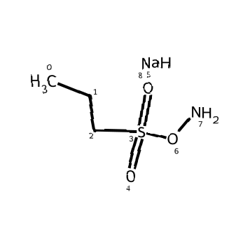 CCCS(=O)(=O)ON.[NaH]